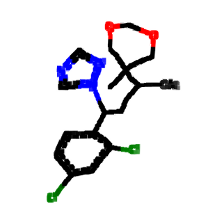 CC(=O)OC(CC(c1ccc(Cl)cc1Cl)n1cncn1)C1(C)COCOC1